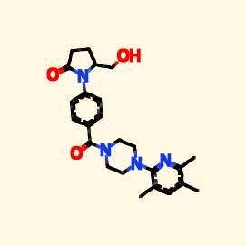 Cc1cc(C)c(N2CCN(C(=O)c3ccc(N4C(=O)CCC4CO)cc3)CC2)nc1C